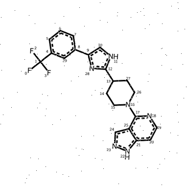 FC(F)(F)c1cccc(-c2c[nH]c(C3CCN(c4nccc5[nH]ncc45)CC3)n2)c1